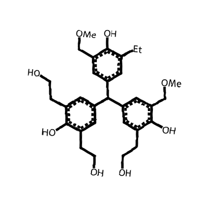 CCc1cc(C(c2cc(CCO)c(O)c(CCO)c2)c2cc(CCO)c(O)c(COC)c2)cc(COC)c1O